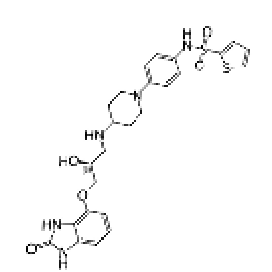 O=c1[nH]c2cccc(OC[C@@H](O)CNC3CCN(c4ccc(NS(=O)(=O)c5cccs5)cc4)CC3)c2[nH]1